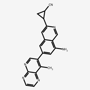 Cc1c(-c2cc(N)c3cnc(C4CC4C#N)cc3c2)cnc2nccnc12